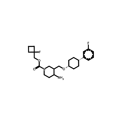 NC1CCN(C(=O)OCC2(F)CCC2)CC1CO[C@H]1CC[C@@H](c2cccc(F)c2)CC1